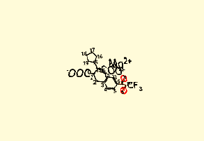 O=C([O-])C(Cc1ccc(S(=O)(=O)C(F)(F)F)cc1)C(C(=O)[O-])C1CCCC1.[Mg+2]